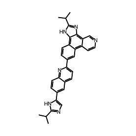 CC(C)c1ncc(-c2ccc3nc(-c4ccc5c(c4)c4ccncc4c4nc(C(C)C)[nH]c54)ccc3c2)[nH]1